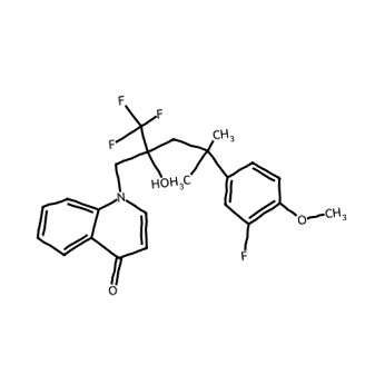 COc1ccc(C(C)(C)CC(O)(Cn2ccc(=O)c3ccccc32)C(F)(F)F)cc1F